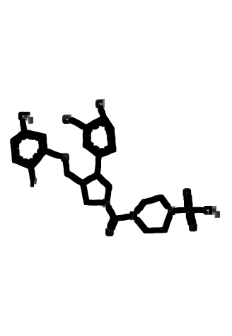 CS(=O)(=O)N1CCN(C(=O)N2CC(COc3cc(C(F)(F)F)ccc3F)C(c3ccc(Cl)c(Cl)c3)C2)CC1